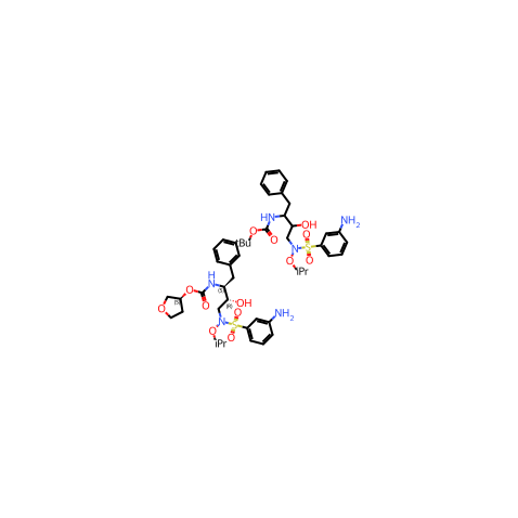 CC(C)ON(CC(O)C(Cc1ccccc1)NC(=O)OC(C)(C)C)S(=O)(=O)c1cccc(N)c1.CC(C)ON(C[C@@H](O)[C@H](Cc1ccccc1)NC(=O)O[C@H]1CCOC1)S(=O)(=O)c1cccc(N)c1